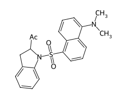 CC(=O)C1Cc2ccccc2N1S(=O)(=O)c1cccc2c(N(C)C)cccc12